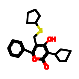 O=c1oc(-c2ccccc2)c(CSC2CCCC2)c(O)c1C1CCCC1